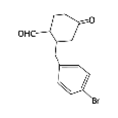 O=CC1CCC(=O)CC1Cc1ccc(Br)cc1